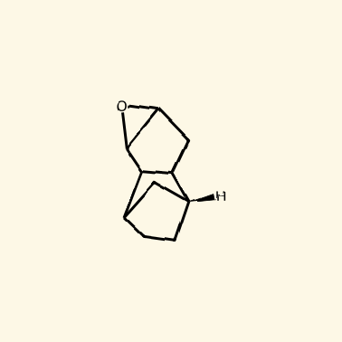 C1C[C@@H]2CC1C1C3OC3CC12